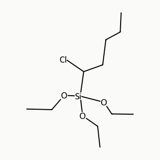 CCCCC(Cl)[Si](OCC)(OCC)OCC